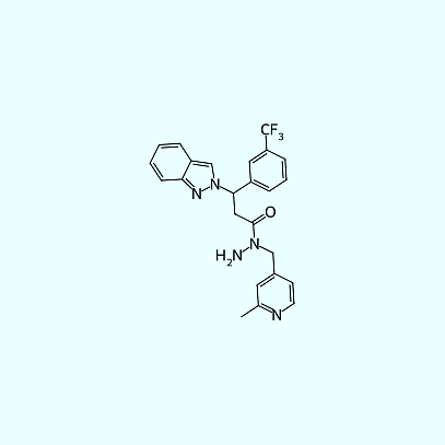 Cc1cc(CN(N)C(=O)CC(c2cccc(C(F)(F)F)c2)n2cc3ccccc3n2)ccn1